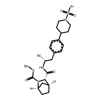 CC(C)S(=O)(=O)N1CCC(c2ccc(C[C@@H](C#N)NC(=O)[C@@H]3[C@H]4CC[C@H](C4)N3C(=O)OC(C)(C)C)cc2)CC1